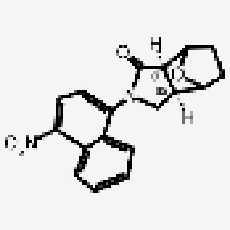 O=C1[C@H]2C3CCC(O3)[C@H]2CN1c1ccc([N+](=O)[O-])c2ccccc12